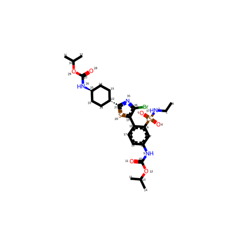 CCNS(=O)(=O)c1cc(NC(=O)OC(C)C)ccc1-c1sc([C@H]2CC[C@H](NC(=O)OC(C)C)CC2)nc1Br